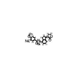 CC(C)Oc1ccc(-c2nc(-c3cccc4c3CC[C@H]4N3CCOC3=O)no2)cc1C#N